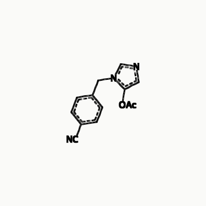 CC(=O)Oc1cncn1Cc1ccc(C#N)cc1